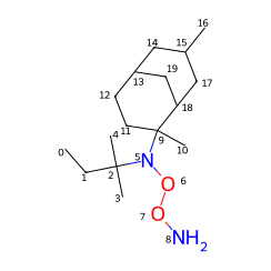 CCC(C)(C)N(OON)C1(C)CCC2CC(C)CC1C2